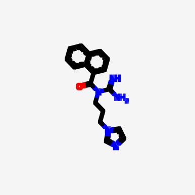 N=C(N)N(CCCn1ccnc1)C(=O)c1cccc2ccccc12